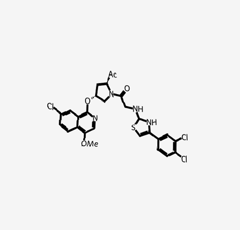 COc1cnc(O[C@@H]2C[C@@H](C(C)=O)N(C(=O)CNC3NC(c4ccc(Cl)c(Cl)c4)=CS3)C2)c2cc(Cl)ccc12